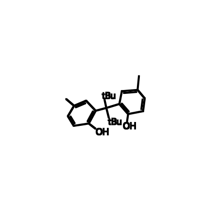 Cc1ccc(O)c(C(c2cc(C)ccc2O)(C(C)(C)C)C(C)(C)C)c1